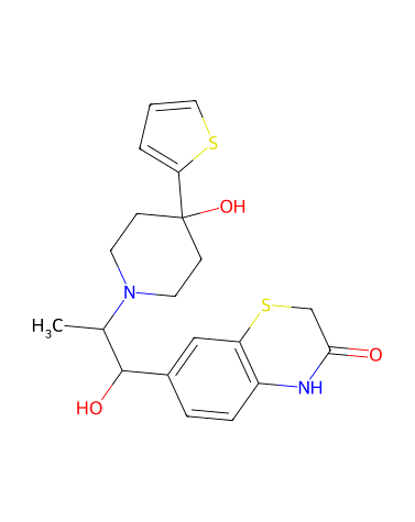 CC(C(O)c1ccc2c(c1)SCC(=O)N2)N1CCC(O)(c2cccs2)CC1